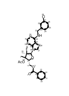 CC(=O)O[C@@]1(C)[C@@H](COC(=O)c2ccccc2)O[C@H](n2cnc3c(NCc4cccc(Cl)c4)ncnc32)[C@]1(C)F